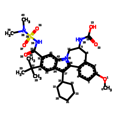 COc1ccc2c(c1)CC(NC(=O)O)Cn1c-2c(C2CCCCC2)c2cc(C(C)(C)C)c(C(=O)NS(=O)(=O)N(C)C)cc21